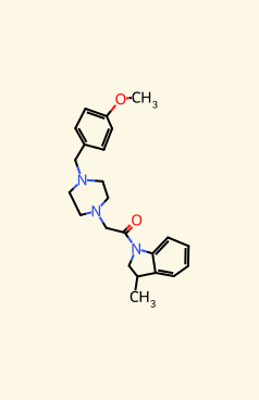 COc1ccc(CN2CCN(CC(=O)N3CC(C)c4ccccc43)CC2)cc1